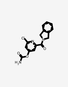 NC(=O)Oc1cc(Cl)nc(C(=O)N2Cc3ccccc3C2)c1